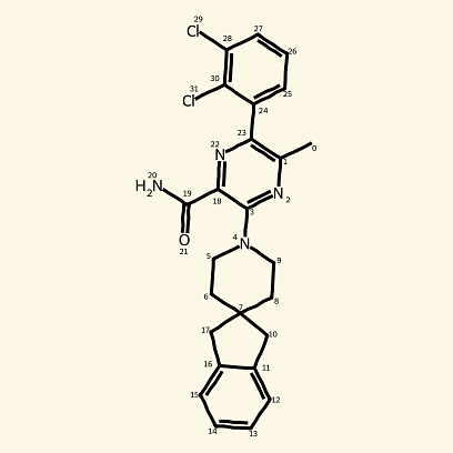 Cc1nc(N2CCC3(CC2)Cc2ccccc2C3)c(C(N)=O)nc1-c1cccc(Cl)c1Cl